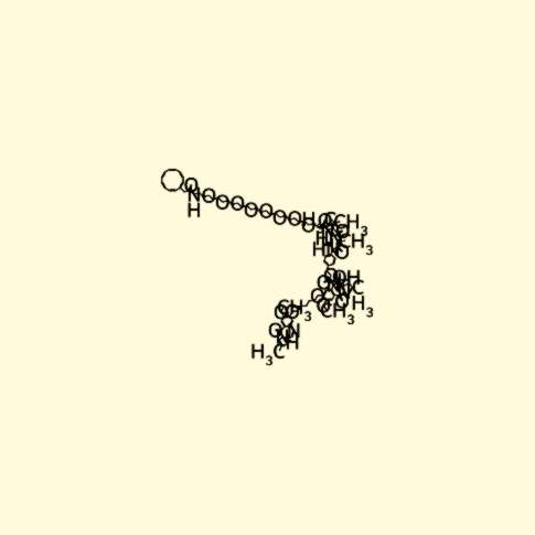 COc1cc2c(cc1OCCCCCOc1cc3c(cc1OC)C(=O)N1C=C(C)C[C@H]1[C@H](O)N3C(=O)OCc1ccc(NC(=O)[C@H](C)NC(=O)[C@@H](NC(=O)CCOCCOCCOCCOCCOCCOCCOCCOCCNC(=O)CC3=C/C=C\C=C/C=C\C=C/C=C\3)C(C)C)cc1)N=C[C@@H]1CC(C)=CN1C2=O